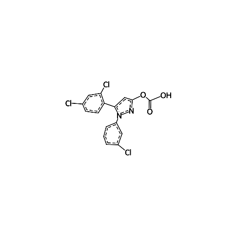 O=C(O)Oc1cc(-c2ccc(Cl)cc2Cl)n(-c2cccc(Cl)c2)n1